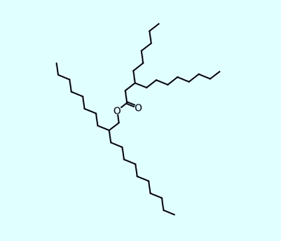 CCCCCCCCCCC(CCCCCCCC)COC(=O)CC(CCCCCC)CCCCCCCC